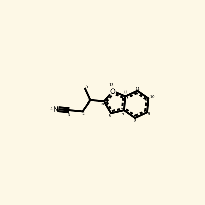 CC(CC#N)c1cc2ccccc2o1